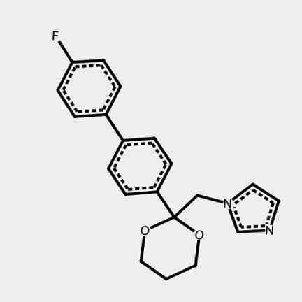 Fc1ccc(-c2ccc(C3(Cn4ccnc4)OCCCO3)cc2)cc1